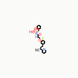 N#CC(CCc1ccc(F)c(OCCC(=O)N[C@@H](Cc2ccccc2)B(O)O)c1)c1ccccn1